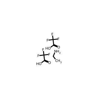 CCN.O=C(O)C(F)(F)F.O=C(O)C(F)(F)F